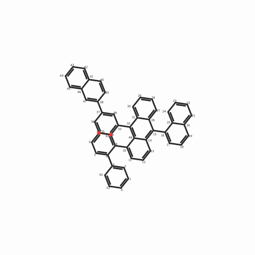 c1ccc(-c2ccccc2-c2cccc3c(-c4cccc5ccccc45)c4ccccc4c(-c4cccc(-c5ccc6ccccc6c5)c4)c23)cc1